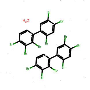 Brc1cc(Br)c(-c2ccc(Br)c(Br)c2Br)cc1Br.Brc1cc(Br)c(-c2ccc(Br)c(Br)c2Br)cc1Br.O